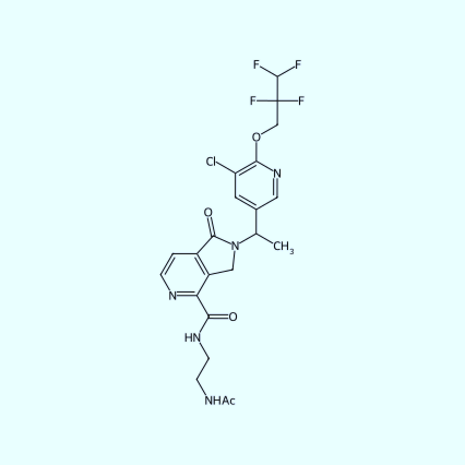 CC(=O)NCCNC(=O)c1nccc2c1CN(C(C)c1cnc(OCC(F)(F)C(F)F)c(Cl)c1)C2=O